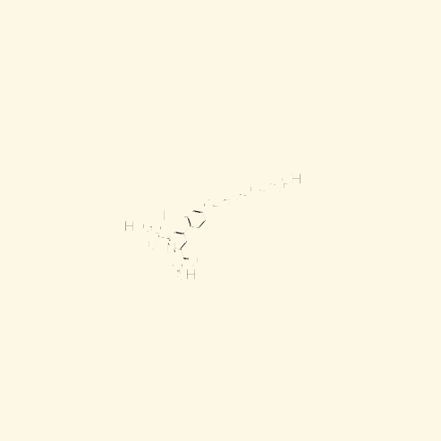 COCCOCCOCCOc1ccc(-c2cc(C(=O)OC)nc(C(=O)OC)c2)c(C)c1